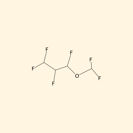 FC(F)OC(F)C(F)C(F)F